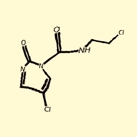 O=C(NCCCl)n1cc(Cl)cnc1=O